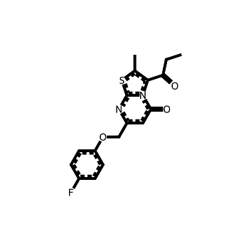 CCC(=O)c1c(C)sc2nc(COc3ccc(F)cc3)cc(=O)n12